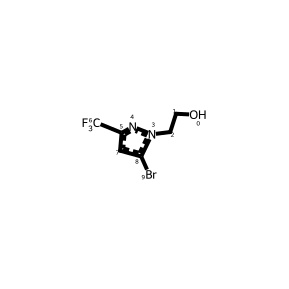 OCCn1nc(C(F)(F)F)cc1Br